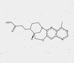 C=CC(=O)CCC1CCN2C[C@@H]1COc1cc3ncnc(C)c3nc12